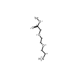 [2H]OC(=O)COCCOCCN